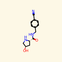 N#Cc1ccc(CNC(=O)[C@@H]2C[C@@H](O)CN2)cc1